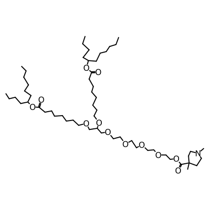 CCCCCCC(CCCC)OC(=O)CCCCCCCOCC(COCCOCCOCCOCCOC(=O)C1(C)CCN(C)CC1)OCCCCCCCC(=O)OC(CCCC)CCCCCC